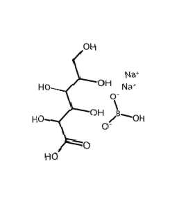 O=C(O)C(O)C(O)C(O)C(O)CO.[Na+].[Na+].[O-]B([O-])O